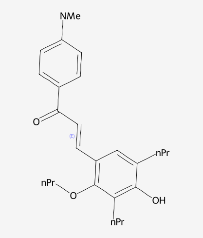 CCCOc1c(/C=C/C(=O)c2ccc(NC)cc2)cc(CCC)c(O)c1CCC